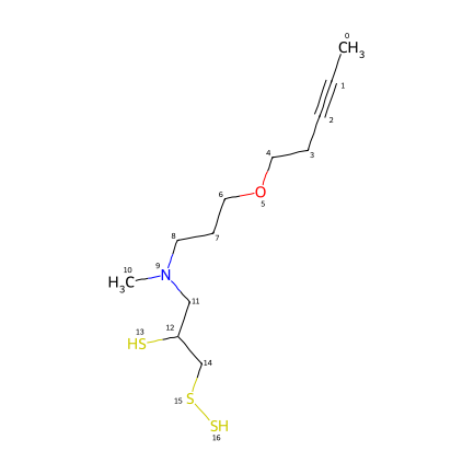 CC#CCCOCCCN(C)CC(S)CSS